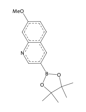 COc1ccc2cc(B3OC(C)(C)C(C)(C)O3)cnc2c1